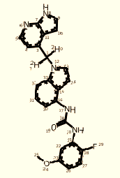 [2H]C([2H])(c1ccnc2[nH]ccc12)n1ccc2c(NC(=O)Nc3cc(OC)ccc3F)cccc21